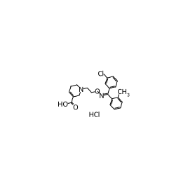 Cc1ccccc1/C(=N/OCCN1CCC=C(C(=O)O)C1)c1cccc(Cl)c1.Cl